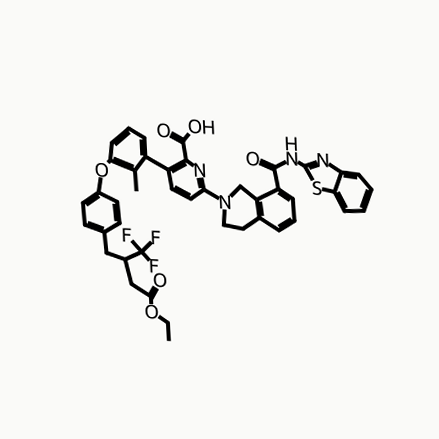 CCOC(=O)CC(Cc1ccc(Oc2cccc(-c3ccc(N4CCc5cccc(C(=O)Nc6nc7ccccc7s6)c5C4)nc3C(=O)O)c2C)cc1)C(F)(F)F